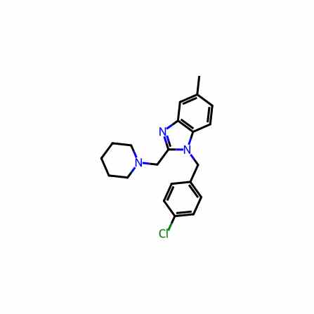 Cc1ccc2c(c1)nc(CN1CCCCC1)n2Cc1ccc(Cl)cc1